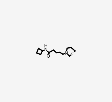 O=C(CCCCN1CCCCC1)NC1CCC1